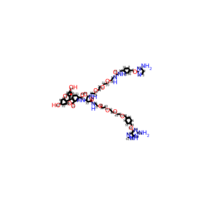 Nc1ccnc(OCc2ccc(CNC(=O)NCCOCCOCCOCCNC(=O)C(CC(=O)NCCOCCOCCOCCOCc3ccc(COc4nc(N)nc5[nH]cnc45)cc3)NC(=O)c3ccc4c(c3)C(=O)OC43c4ccc(O)cc4Oc4cc(O)ccc43)cc2)n1